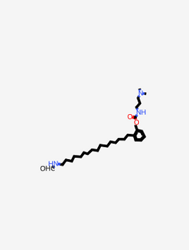 CN(C)CCCNC(=O)OCc1ccccc1CCCCCCCCCCCCCCCCNC=O